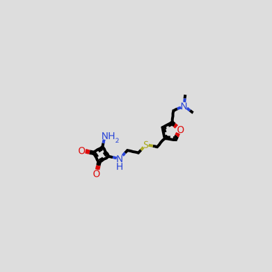 CN(C)Cc1cc(CSCCNc2c(N)c(=O)c2=O)co1